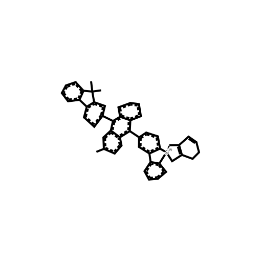 Cc1ccc2c(-c3ccc4c(c3)-c3ccccc3[Si@@]43CC4=C(CCC=C4)C3)c3ccccc3c(-c3ccc4c(c3)C(C)(C)c3ccccc3-4)c2c1